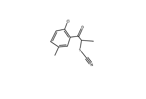 Cc1ccc(Cl)c(C(=O)C(C)SC#N)c1